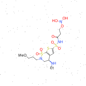 CCN[C@H]1CN(CCCOC)S(=O)(=O)c2sc(S(=O)(=O)NC(=O)CCON(O)O)cc21